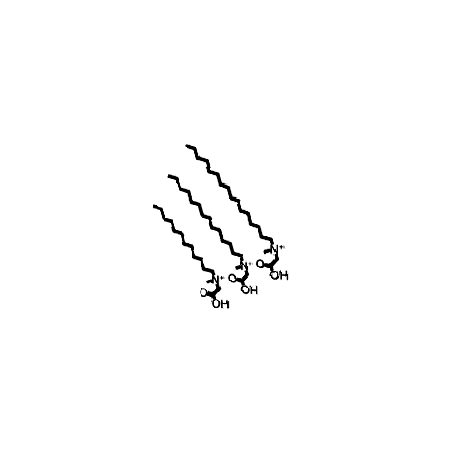 CCCCCCCCCCCCCCCC[N+](C)(C)CC(=O)O.CCCCCCCCCCCCCC[N+](C)(C)CC(=O)O.CCCCCCCCCCCC[N+](C)(C)CC(=O)O